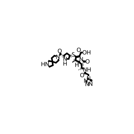 C[C@@H](NC(=O)Cn1cnnn1)[C@H]1C(=O)N2C(C(=O)O)=C(S[C@@H]3CN[C@H](C(=O)N4CCC5(CCNC5)CC4)C3)[C@H](C)[C@H]12